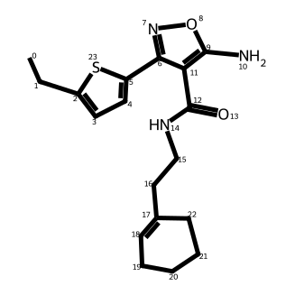 CCc1ccc(-c2noc(N)c2C(=O)NCCC2=CCCCC2)s1